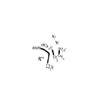 CC(=O)O.CC(=O)O.CNCC(=O)O.[K+].[K+].[K+]